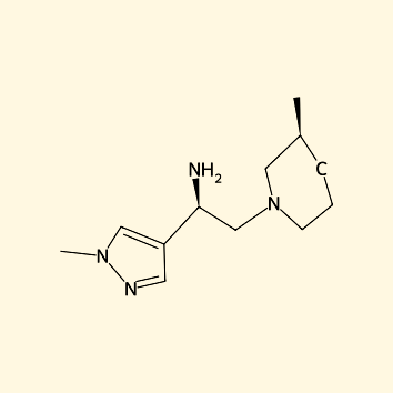 C[C@H]1CCCN(C[C@H](N)c2cnn(C)c2)C1